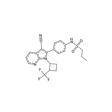 CCCS(=O)(=O)Nc1ccc(-c2c(C#N)c3cccnc3n2C2CCC2C(F)(F)F)cc1